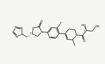 O=C1O[C@@H](Cn2ncnn2)CN1c1ccc(C2=CC(I)N(C(=O)[C@@H](O)CO)CC2)c(F)c1